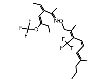 C/C=C(\C=C(/CC)OC(F)(F)F)C(C)=NOC/C(C)=C(/C=C\C=C(/C)CCC)C(F)(F)F